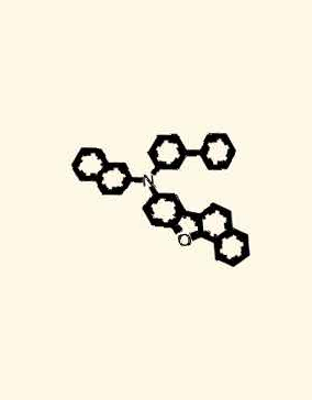 c1ccc(-c2cccc(N(c3ccc4ccccc4c3)c3ccc4oc5c6ccccc6ccc5c4c3)c2)cc1